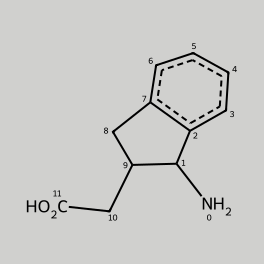 NC1c2ccccc2CC1CC(=O)O